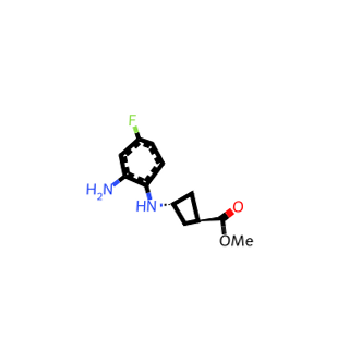 COC(=O)[C@H]1C[C@H](Nc2ccc(F)cc2N)C1